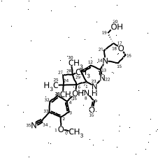 COc1cc(OC2([C@@]3(NC=O)C=CC(N4CCO[C@@H](CO)C4)=NN3)C(C)(C)CC2(C)C)ccc1C#N